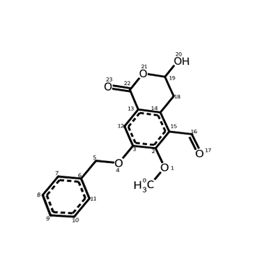 COc1c(OCc2ccccc2)cc2c(c1C=O)CC(O)OC2=O